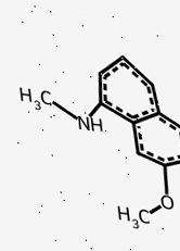 CNc1cccc2ccc(OC)cc12